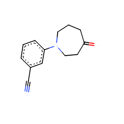 N#Cc1cccc(N2CCCC(=O)CC2)c1